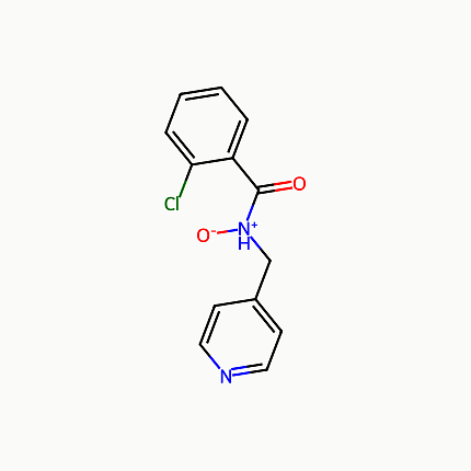 O=C(c1ccccc1Cl)[NH+]([O-])Cc1ccncc1